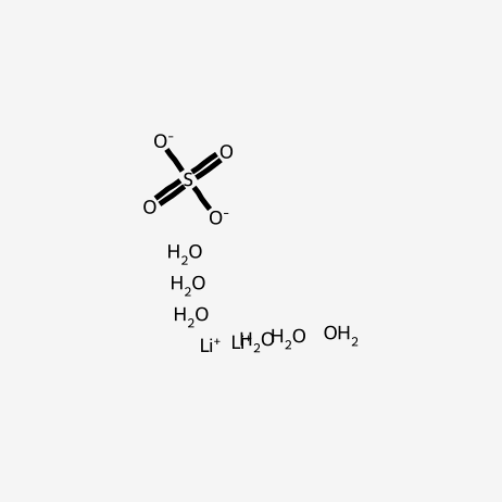 O.O.O.O.O.O.O=S(=O)([O-])[O-].[Li+].[Li+]